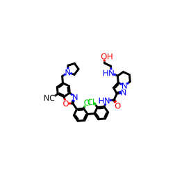 N#Cc1cc(CN2CCCC2)cc2nc(-c3cccc(-c4cccc(NC(=O)c5cc6n(n5)CCCC6NCCO)c4Cl)c3Cl)oc12